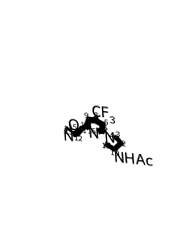 CC(=O)NC1CCN(c2cc(C(F)(F)F)cc(-c3cnco3)n2)C1